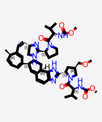 COC[C@@H]1C[C@@H](c2nc3c([nH]2)[C@@H]2CC[C@H](C4=CC=C[C@@H](C)C(/C=C\[C@H]5CNC([C@@H]6CCCN6C(=O)[C@@H](NC(=O)OC)C(C)C)=N5)=C4)C=C2C=C3)N(C(=O)[C@@H](NC(=O)OC)C(C)C)C1